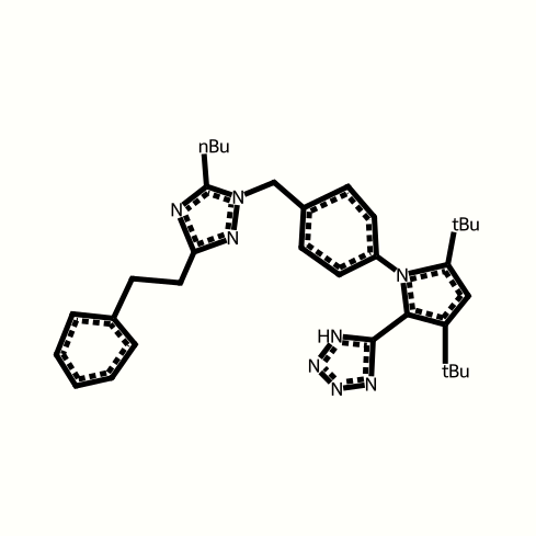 CCCCc1nc(CCc2ccccc2)nn1Cc1ccc(-n2c(C(C)(C)C)cc(C(C)(C)C)c2-c2nnn[nH]2)cc1